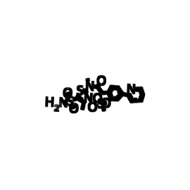 Cc1nc(N(C)C(=O)C(OS(C)(=O)=O)c2ccc(-c3ccccn3)cc2)sc1S(N)(=O)=O